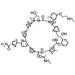 Cc1sc2nc1C(=O)N[C@@H]([C@H](O)c1ccccc1)c1nc(cs1)C(=O)N[C@@H](Cc1ccc(OCCN)cc1)C(=O)N1C[C@H](O)[C@H](C)[C@H]1c1nc(cs1)-c1nc(cs1)-c1nc(-c3nc(C(N)=O)cs3)ccc1-c1nc(cs1)C(=O)N[C@H]2CC(N)=O